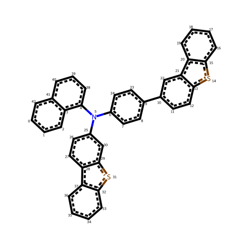 c1ccc2c(N(c3ccc(-c4ccc5sc6ccccc6c5c4)cc3)c3ccc4c(c3)sc3ccccc34)cccc2c1